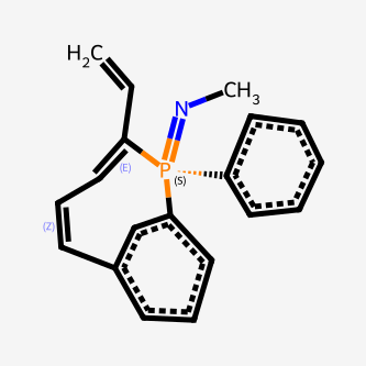 C=C/C1=C\C=C/c2cccc(c2)[P@@]1(=NC)c1ccccc1